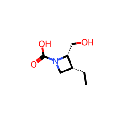 CC[C@@H]1CN(C(=O)O)[C@@H]1CO